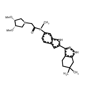 CO[C@H]1CN(CC(=O)N(C)c2ccc3cc(-c4n[nH]c5c4CCC(C)(C)C5)[nH]c3c2)C[C@H]1OC